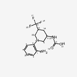 Nc1cnccc1N1CC(NC(=O)O)CC(C(F)(F)F)C1